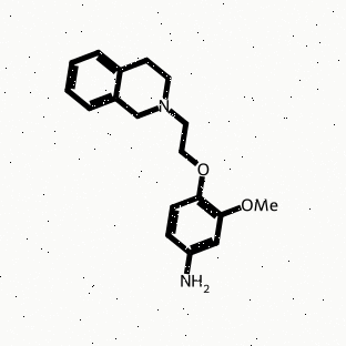 COc1cc(N)ccc1OCCN1CCc2ccccc2C1